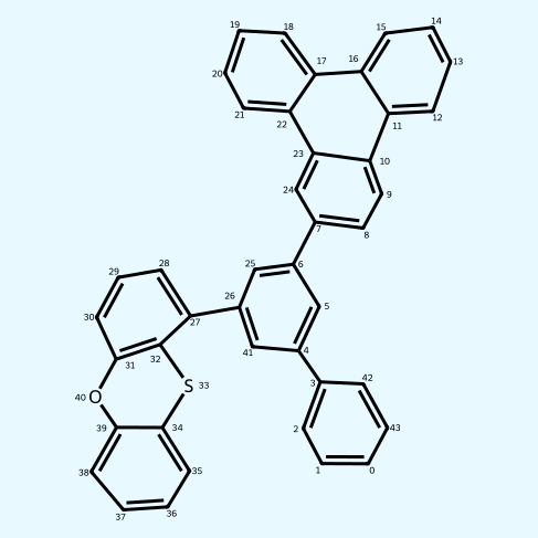 c1ccc(-c2cc(-c3ccc4c5ccccc5c5ccccc5c4c3)cc(-c3cccc4c3Sc3ccccc3O4)c2)cc1